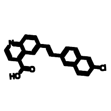 O=C(O)c1ccnc2ccc(C=Cc3ccc4cc(Cl)ccc4c3)cc12